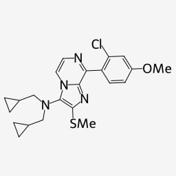 COc1ccc(-c2nccn3c(N(CC4CC4)CC4CC4)c(SC)nc23)c(Cl)c1